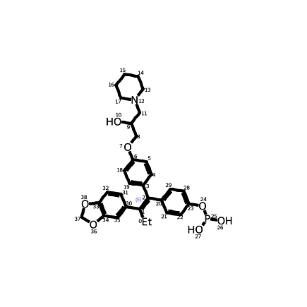 CC/C(=C(/c1ccc(OCC(O)CN2CCCCC2)cc1)c1ccc(OP(O)O)cc1)c1ccc2c(c1)OCO2